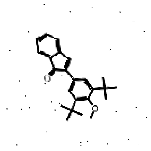 COc1c(C(C)(C)C)cc(C2=Cc3ccccc3C2=O)cc1C(C)(C)C